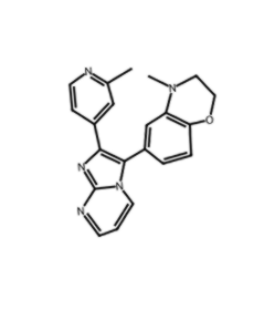 Cc1cc(-c2nc3ncccn3c2-c2ccc3c(c2)N(C)CCO3)ccn1